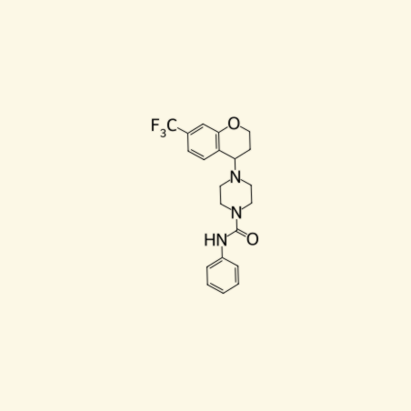 O=C(Nc1ccccc1)N1CCN(C2CCOc3cc(C(F)(F)F)ccc32)CC1